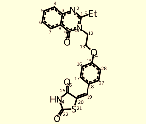 CCc1nc2ccccc2c(=O)n1CCOc1ccc(C=C2SC(=O)NC2=O)cc1